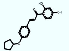 O=C(C=Cc1ccc(OC2CCCC2)cc1)c1ccc(O)cc1O